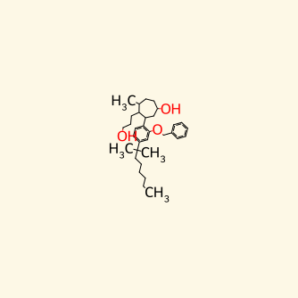 CCCCCCC(C)(C)c1ccc(C2CC(O)CCC(C)C2CCCO)c(OCc2ccccc2)c1